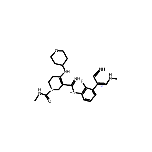 CN/C=C(\C=N)c1cccc(NC(=N)C2=C(NC3CCOCC3)CCN(C(=O)NC)C2)c1F